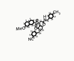 COc1ccc2ccc(S(=O)(=O)N(CC(=O)NCc3ccc(C)cc3)[C@H]3CCN(Cc4cccc(C#N)c4)C3=O)cc2c1